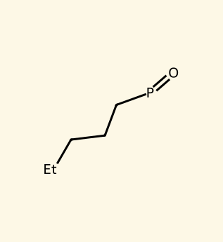 CCCCCP=O